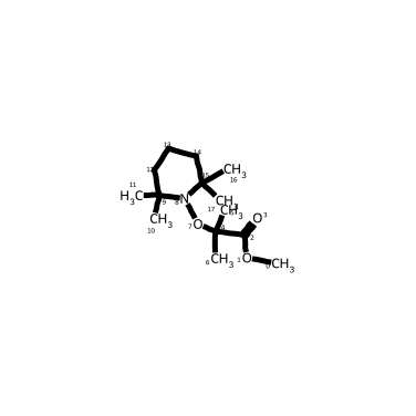 COC(=O)C(C)(C)ON1C(C)(C)CCCC1(C)C